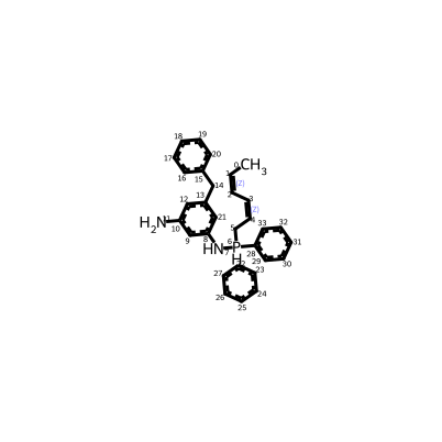 C/C=C\C=C/C[PH](Nc1cc(N)cc(Cc2ccccc2)c1)(c1ccccc1)c1ccccc1